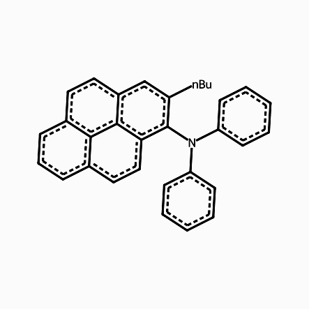 CCCCc1cc2ccc3cccc4ccc(c1N(c1ccccc1)c1ccccc1)c2c34